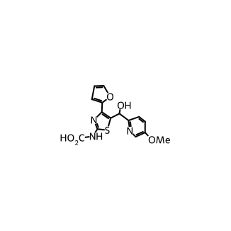 COc1ccc(C(O)c2sc(NC(=O)O)nc2-c2ccco2)nc1